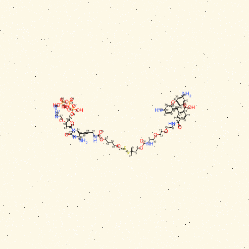 CC(C)(CCOC(=O)NCCOCCOCCNC(=O)c1ccc(C(=O)O)c(-c2c3ccc(=N)cc-3oc3cc(N)ccc23)c1)SSCOCCCCOC(=O)NCC#Cc1cn([C@H]2CC(OCN=[N+]=[N-])[C@@H](COP(=O)(O)OP(=O)(O)OP(=O)(O)O)O2)c(=O)nc1N